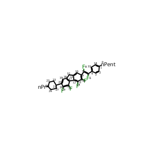 CCCCCc1ccc(/C(F)=C(\F)c2cc3c(c(F)c2F)-c2c(cc(C4CCC(CCC)CC4)c(F)c2F)C3)cc1